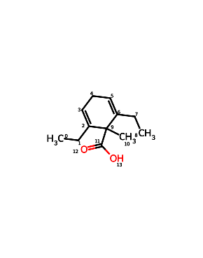 CCC1=CCC=C(CC)C1(C)C(=O)O